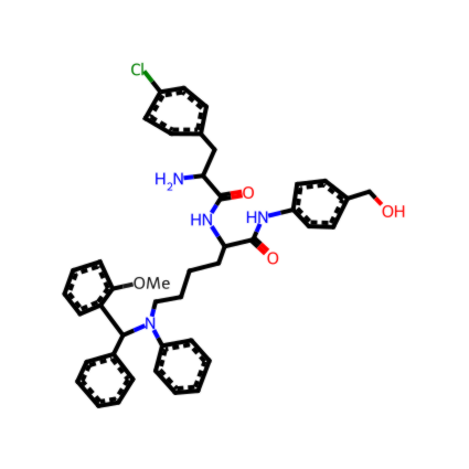 COc1ccccc1C(c1ccccc1)N(CCCCC(NC(=O)C(N)Cc1ccc(Cl)cc1)C(=O)Nc1ccc(CO)cc1)c1ccccc1